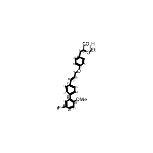 CCO[C@@H](Cc1ccc(OC/C=C/c2ccc(-c3cc(C(C)C)ccc3OC)cc2)cc1)C(=O)O